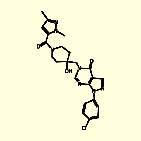 Cc1cc(C(=O)N2CCC(O)(Cn3cnc4c(cnn4-c4ccc(Cl)cc4)c3=O)CC2)n(C)n1